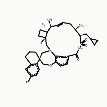 C[C@@H]1C/C=C/[C@H](O)[C@@H]2CC[C@H]2CN2C[C@@]3(CCCc4cc(Cl)ccc43)COc3ccc(cc32)C(=O)NS(=O)(=O)[C@@H]1CC1CC1